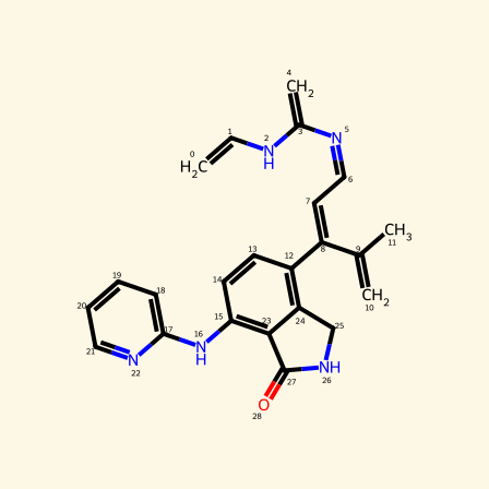 C=CNC(=C)/N=C\C=C(/C(=C)C)c1ccc(Nc2ccccn2)c2c1CNC2=O